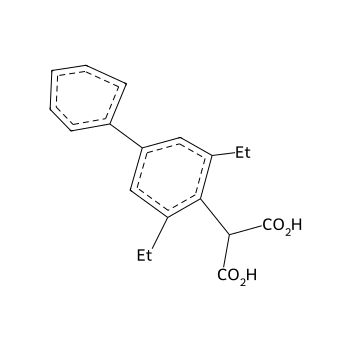 CCc1cc(-c2ccccc2)cc(CC)c1C(C(=O)O)C(=O)O